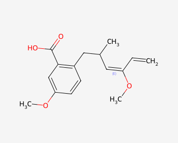 C=C/C(=C\C(C)Cc1ccc(OC)cc1C(=O)O)OC